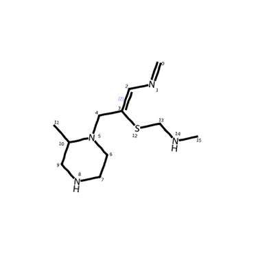 C=N/C=C(/CN1CCNCC1C)SCNC